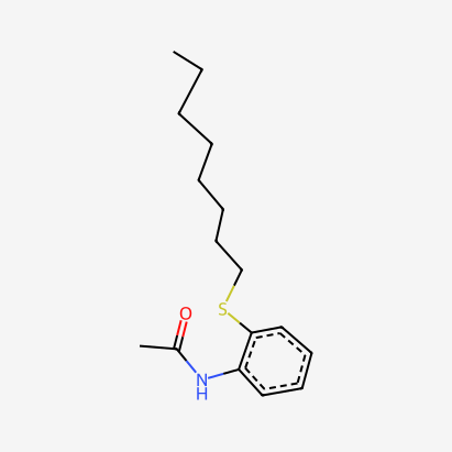 CCCCCCCCSc1ccccc1NC(C)=O